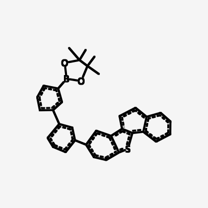 CC1(C)OB(c2cccc(-c3cccc(-c4ccc5sc6c7ccccc7ccc6c5c4)c3)c2)OC1(C)C